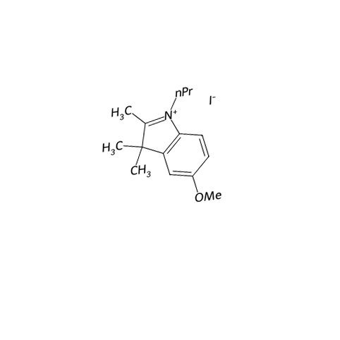 CCC[N+]1=C(C)C(C)(C)c2cc(OC)ccc21.[I-]